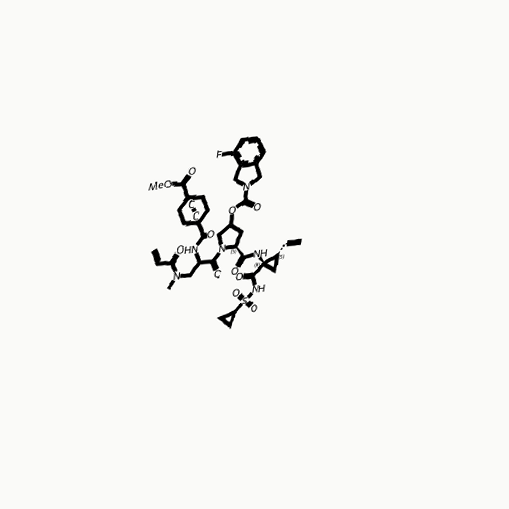 C=CC(=O)N(C)CC(NC(=O)C12CCC(C(=O)OC)(CC1)CC2)C(=O)N1CC(OC(=O)N2Cc3cccc(F)c3C2)C[C@H]1C(=O)N[C@]1(C(=O)NS(=O)(=O)C2CC2)C[C@H]1C=C